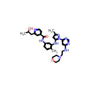 Cc1cc(Nc2cc(NC(=O)c3ccnc(CC(C)O)c3)ccc2C)n(-c2cc(NCCN3CCOCC3)ncn2)n1